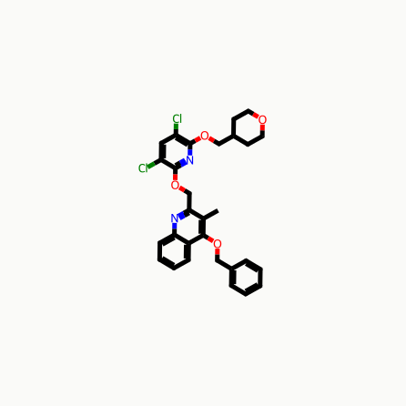 Cc1c(COc2nc(OCC3CCOCC3)c(Cl)cc2Cl)nc2ccccc2c1OCc1ccccc1